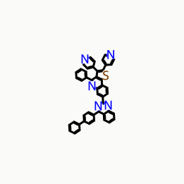 c1ccc(-c2ccc(-c3nc(-c4ccc5c(c4)nc(-c4ccccc4)c4c(-c6ccncc6)c(-c6ccncc6)sc45)nc4ccccc34)cc2)cc1